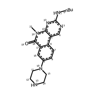 CCCCNc1ncc2c3ccc(N4CCNCC4)cc3c(=O)n(C)c2n1